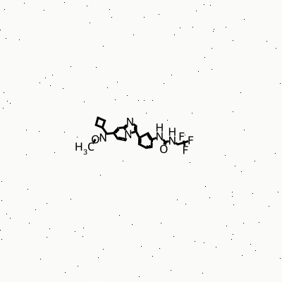 CON=C(c1ccn2c(-c3cccc(NC(=O)NCC(F)(F)F)c3)cnc2c1)C1CCC1